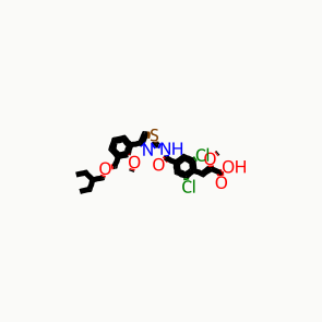 CCC(CC)COCc1cccc(-c2csc(NC(=O)c3cc(Cl)c(/C=C(\OC)C(=O)O)c(Cl)c3)n2)c1OC